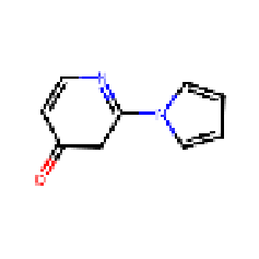 O=C1C=CN=C(n2cccc2)C1